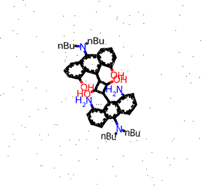 CCCCN(CCCC)c1c2cccc(N)c2c(C2C(O)C(c3c4c(O)cccc4c(N(CCCC)CCCC)c4cccc(O)c34)C2O)c2c(N)cccc12